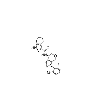 Cc1cccc(Cl)c1-n1ncc2c1COC[C@@H]2NC(=O)c1n[nH]c2c1CCCC2